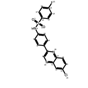 O=S(=O)(Nc1ccc(-c2cnc3cc(Cl)ccc3n2)cc1)c1ccc(F)cc1